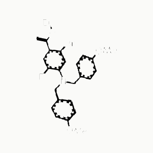 C=C(OCC)c1cc(F)c(N(Cc2ccc(OC)cc2)Cc2ccc(OC)cc2)cc1Br